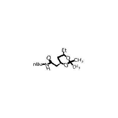 CCCCNC(=O)C[C@H]1C[C@@H](CC)OC(C)(C)O1